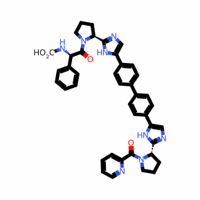 O=C(O)N[C@@H](C(=O)N1CCC[C@H]1c1ncc(-c2ccc(-c3ccc(-c4cnc([C@@H]5CCCN5C(=O)c5ccccn5)[nH]4)cc3)cc2)[nH]1)c1ccccc1